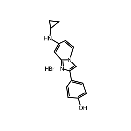 Br.Oc1ccc(-c2cn3ccc(NC4CC4)cc3n2)cc1